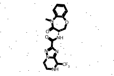 CN1C(=O)[C@@H](NC(=O)c2nc3n(n2)CCNC3C(F)(F)F)COc2ccccc21